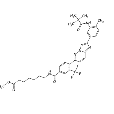 COC(=O)CCCCCCNC(=O)c1ccc(-c2ccc3nc(-c4ccc(C)c(NC(=O)C(C)(C)C)c4)cn3n2)c(C(F)(F)F)c1